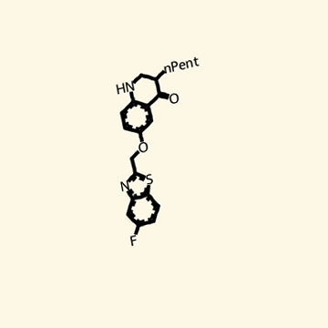 CCCCCC1CNc2ccc(OCc3nc4cc(F)ccc4s3)cc2C1=O